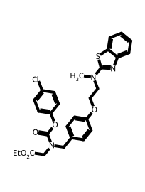 CCOC(=O)CN(Cc1ccc(OCCN(C)c2nc3ccccc3s2)cc1)C(=O)Oc1ccc(Cl)cc1